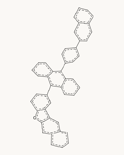 c1ccc2cc(-c3ccc(-c4c5ccccc5c(-c5ccc6oc7cc8ccccc8cc7c6c5)c5ccccc45)cc3)ccc2c1